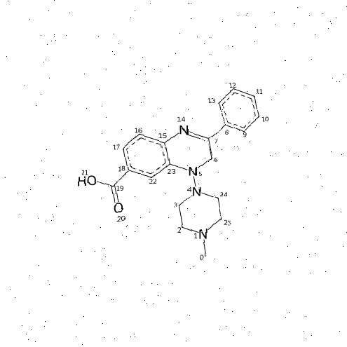 CN1CCN(N2CC(c3ccccc3)=Nc3ccc(C(=O)O)cc32)CC1